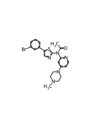 CC(=O)N(c1cc(N2CCN(C)CC2)ccn1)c1ncc(-c2cccc(Br)c2)s1